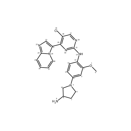 COc1cc(N2CCC(N)C2)ccc1Nc1ncc(Cl)c(-c2cnc3ccccn23)n1